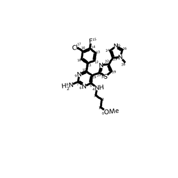 COCCCNc1nc(N)nc(-c2ccc(F)c(Cl)c2)c1-c1nc(-c2cncn2C)cs1